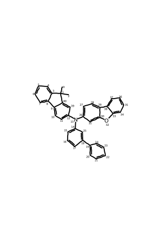 CC1(C)c2ccccc2-c2ccc(N(c3cccc(-c4ccccc4)c3)c3ccc4c(c3)oc3ccccc34)cc21